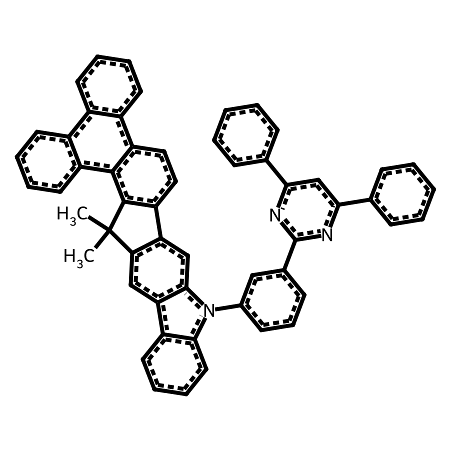 CC1(C)c2cc3c4ccccc4n(-c4cccc(-c5nc(-c6ccccc6)cc(-c6ccccc6)n5)c4)c3cc2-c2ccc3c4ccccc4c4ccccc4c3c21